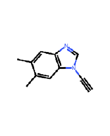 C#Cn1cnc2cc(C)c(C)cc21